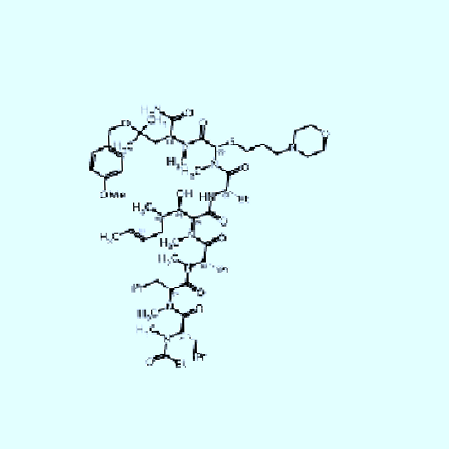 C/C=C/C[C@@H](C)[C@@H](O)[C@@H](C(=O)N[C@@H](CC)C(=O)N(C)[C@H](SCCCN1CCOCC1)C(=O)N(C)[C@@H](CC(C)(C)OCc1ccc(OC)cc1)C(N)=O)N(C)C(=O)[C@H](C(C)C)N(C)C(=O)[C@H](CC(C)C)N(C)C(=O)[C@H](CC(C)C)N(C)C(=O)CC